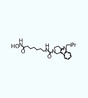 CC(C)Cn1c2c(c3ccccc31)CN(C(=O)NCCCCCCC(=O)NO)CC2